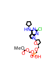 COC(=O)OCOP(=O)(O)COC[C@@H]1CC[C@H](n2ccc3c(NC4CCCC4)nc(Cl)nc32)O1